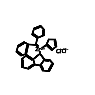 C1=CC[C]([Zr+2](=[C](c2ccccc2)c2ccccc2)[CH]2c3ccccc3-c3ccccc32)=C1.[Cl-].[Cl-]